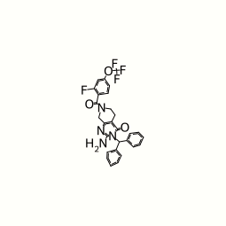 Nc1nc2c(c(=O)n1C(c1ccccc1)c1ccccc1)CCN(C(=O)c1ccc(OC(F)(F)F)cc1F)C2